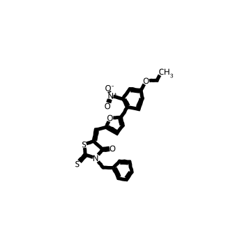 CCOc1ccc(-c2ccc(/C=C3/SC(=S)N(Cc4ccccc4)C3=O)o2)c([N+](=O)[O-])c1